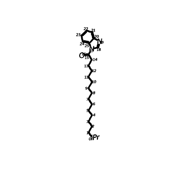 CC(C)CCCCCCCCCCCCCCC(=O)n1cnc2ccccc21